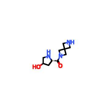 O=C([C@@H]1C[C@@H](O)CN1)N1CC2(CNC2)C1